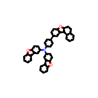 c1ccc2c(c1)ccc1oc3ccc(-c4ccc(N(c5ccc6oc7ccccc7c6c5)c5ccc6oc7ccccc7c6c5)cc4)cc3c12